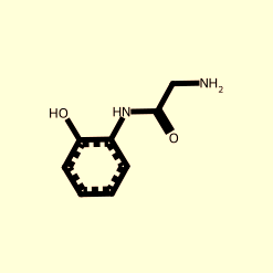 NCC(=O)Nc1ccccc1O